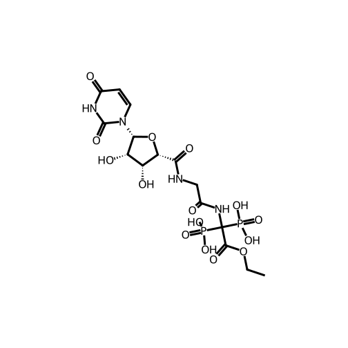 CCOC(=O)C(NC(=O)CNC(=O)[C@H]1O[C@@H](n2ccc(=O)[nH]c2=O)[C@@H](O)[C@H]1O)(P(=O)(O)O)P(=O)(O)O